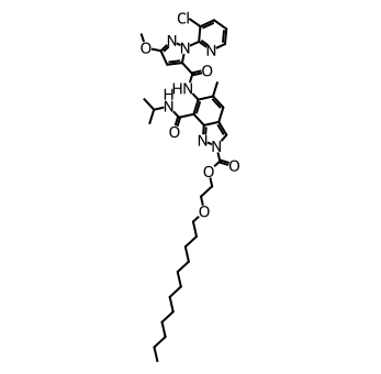 CCCCCCCCCCCCOCCOC(=O)n1cc2cc(C)c(NC(=O)c3cc(OC)nn3-c3ncccc3Cl)c(C(=O)NC(C)C)c2n1